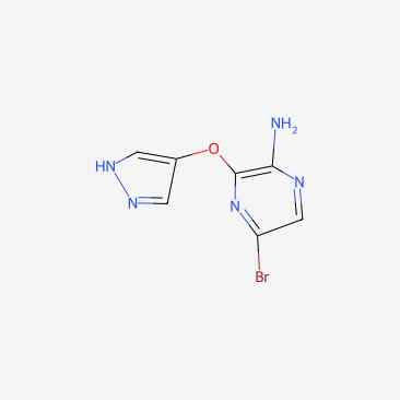 Nc1ncc(Br)nc1Oc1cn[nH]c1